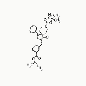 CCC(C)OC(=O)c1cccc(CN2CN(c3ccccc3)C3(CCN(C(=O)OC(C)(C)C)CC3)C2=O)c1